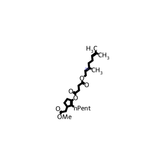 CCCCCC1=C(OC(=O)CCC(=O)OC/C=C(\C)CCC=C(C)C)CCC1CC(=O)OC